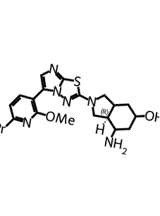 COc1nc(C(C)C)ccc1-c1cnc2sc(N3CC4CC(O)CC(N)[C@H]4C3)nn12